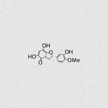 COc1ccc([C@@H]2CC3C(=O)C(O)=CC(O)=C3O2)cc1O